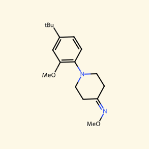 CON=C1CCN(c2ccc(C(C)(C)C)cc2OC)CC1